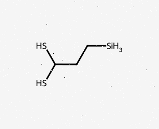 [SiH3]CCC(S)S